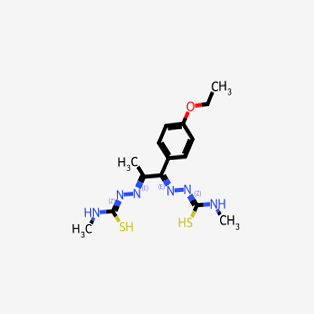 CCOc1ccc(C(=N\N=C(/S)NC)/C(C)=N/N=C(\S)NC)cc1